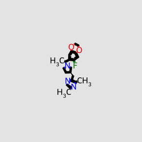 Cc1cnc(C[C@H]2CCN(C(C)c3cc4c(cc3F)OCCO4)C2)c(C)n1